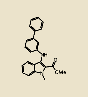 COC(=O)c1c(Nc2cccc(-c3ccccc3)c2)c2ccccc2n1C